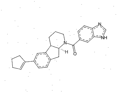 O=C(c1ccc2nc[nH]c2c1)N1CCCC2c3cc(C4=CCCC4)ccc3C[C@@H]21